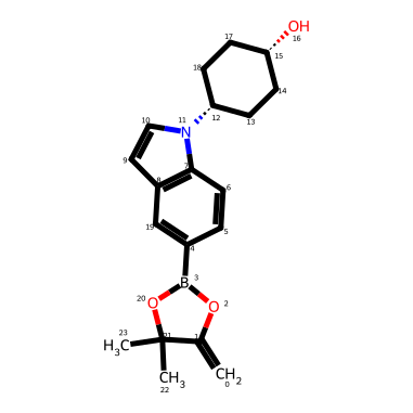 C=C1OB(c2ccc3c(ccn3[C@H]3CC[C@@H](O)CC3)c2)OC1(C)C